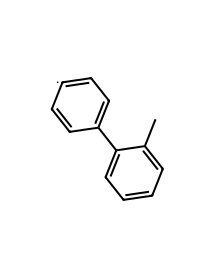 Cc1ccccc1-c1cc[c]cc1